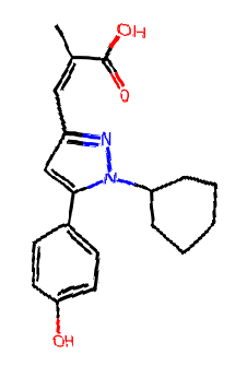 CC(=Cc1cc(-c2ccc(O)cc2)n(C2CCCCC2)n1)C(=O)O